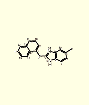 Cc1ccc2[nH]c(Cc3cccc4ccccc34)nc2c1